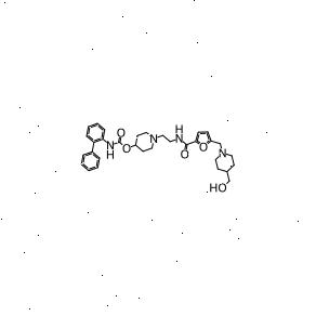 O=C(Nc1ccccc1-c1ccccc1)OC1CCN(CCNC(=O)c2ccc(CN3CCC(CO)CC3)o2)CC1